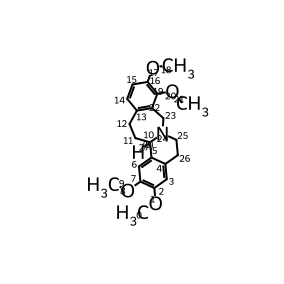 COc1cc2c(cc1OC)[C@@H]1CCc3ccc(OC)c(OC)c3CN1CC2